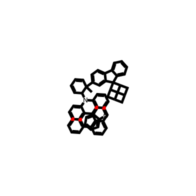 CC1(c2ccc3c(c2)C2(c4ccccc4-3)C3CC4CC5CC2C453)C=CC=CC1N(c1ccccc1-c1cccc2cccc(-c3ccccc3)c12)c1cccc2oc3ccccc3c12